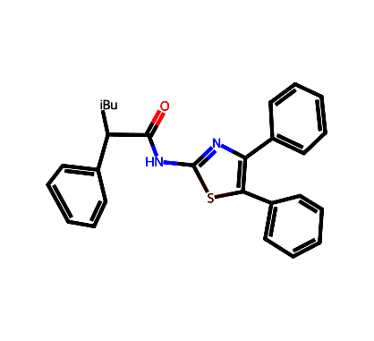 CCC(C)C(C(=O)Nc1nc(-c2ccccc2)c(-c2ccccc2)s1)c1ccccc1